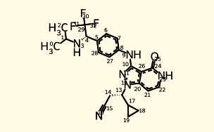 CC(C)N[C@@H](c1ccc(Nc2nn([C@@H](CC#N)C3CC3)c3cc[nH]c(=O)c23)cc1)C(F)(F)F